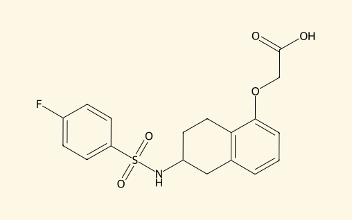 O=C(O)COc1cccc2c1CCC(NS(=O)(=O)c1ccc(F)cc1)C2